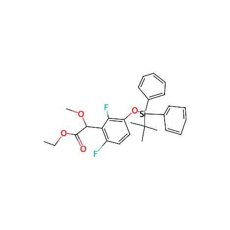 CCOC(=O)C(OC)c1c(F)ccc(O[Si](c2ccccc2)(c2ccccc2)C(C)(C)C)c1F